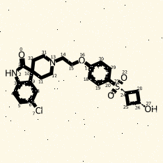 O=C1Nc2ccc(Cl)cc2C12CCN(CCOc1ccc(S(=O)(=O)[C@H]3C[C@@H](O)C3)cc1)CC2